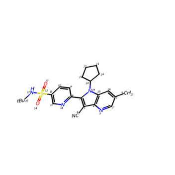 Cc1cnc2c(C#N)c(-c3ccc(S(=O)(=O)NC(C)(C)C)cn3)n(C3CCCC3)c2c1